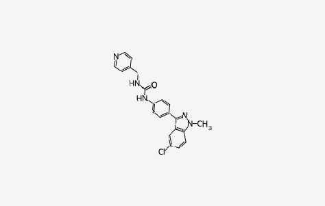 Cn1nc(-c2ccc(NC(=O)NCc3ccncc3)cc2)c2cc(Cl)ccc21